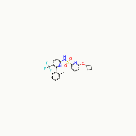 Cc1ccccc1-c1nc(NS(=O)(=O)c2cccc(OC3CCC3)n2)ccc1C(F)(F)F